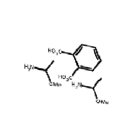 COC(C)N.COC(C)N.O=C(O)c1ccccc1C(=O)O